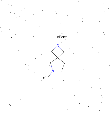 CCCCCN1CC2(CCN(C(C)(C)C)C2)C1